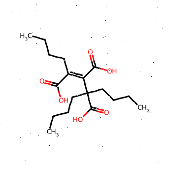 CCCCC(C(=O)O)=C(C(=O)O)C(CCCC)(CCCC)C(=O)O